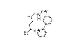 CCCNCC(C)CCC(CC)CCC.c1ccc(-c2ccccc2)cc1